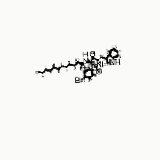 CCCCCCCCCCCC(=O)NNC(=O)[C@H](Cc1c[nH]c2ccccc12)NS(=O)(=O)c1ccc(Br)cc1